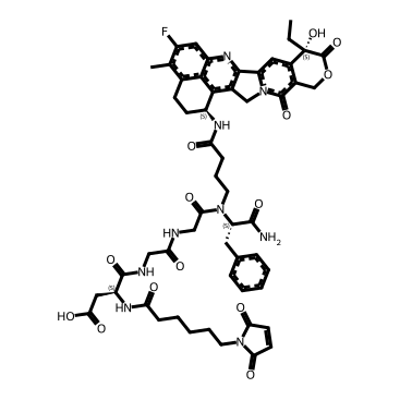 CC[C@@]1(O)C(=O)OCc2c1cc1n(c2=O)Cc2c-1nc1cc(F)c(C)c3c1c2[C@@H](NC(=O)CCCN(C(=O)CNC(=O)CNC(=O)[C@H](CC(=O)O)NC(=O)CCCCCN1C(=O)C=CC1=O)[C@@H](Cc1ccccc1)C(N)=O)CC3